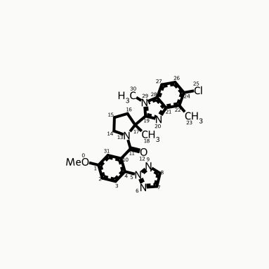 COc1ccc(-n2nccn2)c(C(=O)N2CCCC2(C)c2nc3c(C)c(Cl)ccc3n2C)c1